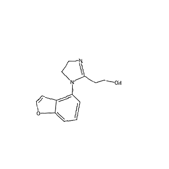 OCCC1=NCCN1c1cccc2occc12